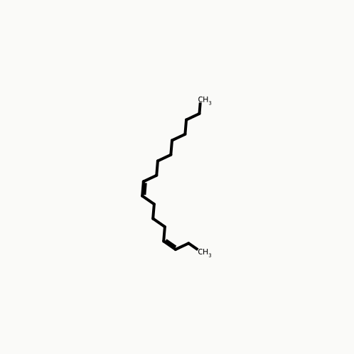 CC/C=C\CCC/C=C\CCCCCCCC